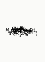 Cc1cc(B2OC(C)(C)C(C)(C)O2)cc2cnn(COCCS(C)(C)C)c12